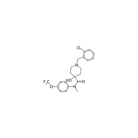 CN(C(=O)C1(O)CCN(Cc2ccccc2Cl)CC1)c1ccc(OC(F)(F)F)cc1